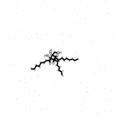 CCCCCCCCCC(=O)C(O)(C(=O)CCCCCCC)C(O)(CO)C(=O)CCCCCCC